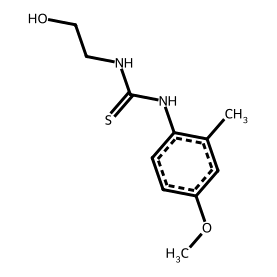 COc1ccc(NC(=S)NCCO)c(C)c1